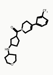 O=C(C1CCC(NC2CCOCC2)C1)N1CC=C(c2cccc(C(F)(F)F)c2)CC1